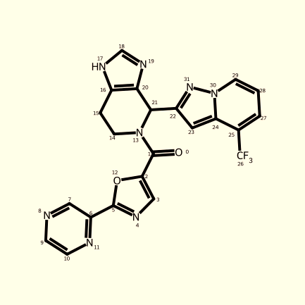 O=C(c1cnc(-c2cnccn2)o1)N1CCc2[nH]cnc2C1c1cc2c(C(F)(F)F)cccn2n1